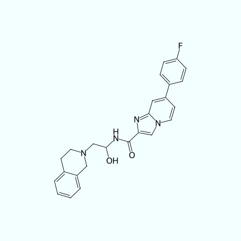 O=C(NC(O)CN1CCc2ccccc2C1)c1cn2ccc(-c3ccc(F)cc3)cc2n1